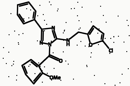 COc1ccccc1C(=O)n1nc(-c2ccccc2)nc1NCc1ccc(Cl)o1